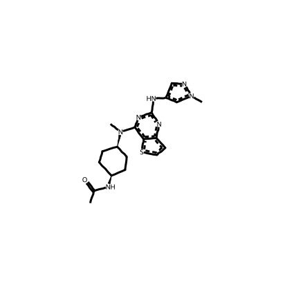 CC(=O)N[C@H]1CC[C@@H](N(C)c2nc(Nc3cnn(C)c3)nc3ccsc23)CC1